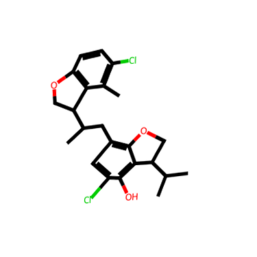 Cc1c(Cl)ccc2c1C(C(C)Cc1cc(Cl)c(O)c3c1OCC3C(C)C)CO2